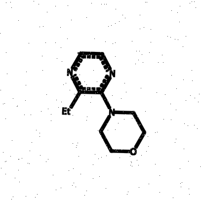 CCc1n[c]cnc1N1CCOCC1